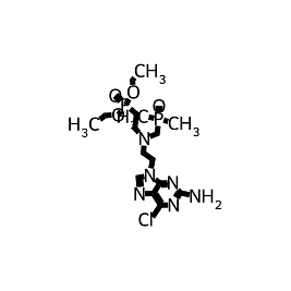 CCOP(=O)(CCN(CCn1cnc2c(Cl)nc(N)nc21)CP(C)(C)=O)OCC